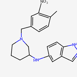 Cc1ccc(CN2CCCC(Nc3ccc4[nH]ncc4c3)C2)cc1[N+](=O)[O-]